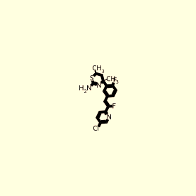 C[C@H]1C[C@@](C)(c2cc(/C=C(\F)c3ccc(Cl)cn3)ccc2F)N=C(N)S1